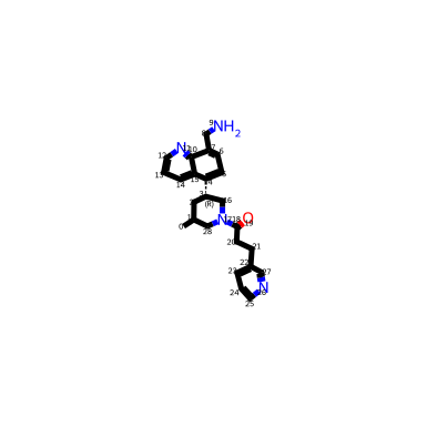 CC1C[C@H](c2ccc(CN)c3ncccc23)CN(C(=O)CCc2cccnc2)C1